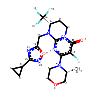 C[C@@H]1COCCN1c1nc2n(c(=O)c1F)CC[C@@H](C(F)(F)F)N2Cc1nc(C2CC2)no1